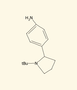 CC(C)(C)N1CCCC1c1ccc(N)cc1